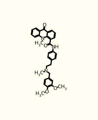 COc1ccc(CN(C)CCc2ccc(NC(=O)c3cccc4c(=O)c5ccccc5n(C)c34)cc2)cc1OC